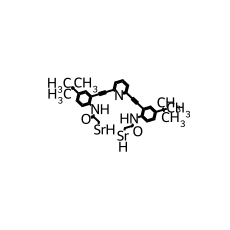 CC(C)(C)c1ccc(NC(=O)[CH2][SrH])c(C#Cc2cccc(C#Cc3cc(C(C)(C)C)ccc3NC(=O)[CH2][SrH])n2)c1